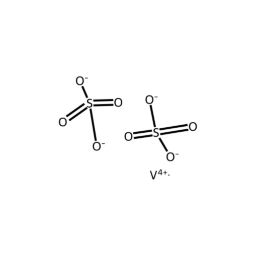 O=S(=O)([O-])[O-].O=S(=O)([O-])[O-].[V+4]